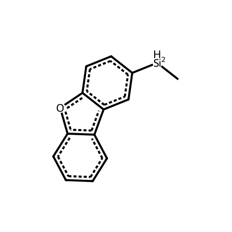 C[SiH2]c1ccc2oc3ccccc3c2c1